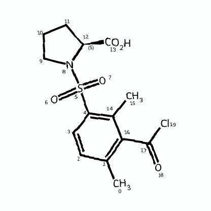 Cc1ccc(S(=O)(=O)N2CCC[C@H]2C(=O)O)c(C)c1C(=O)Cl